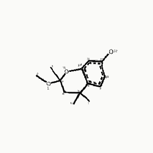 COC1(C)CC(C)(C)c2ccc([O])cc2O1